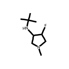 CN1CC(F)C(NC(C)(C)C)C1